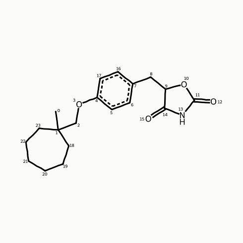 CC1(COc2ccc(CC3OC(=O)NC3=O)cc2)CCCCCC1